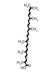 CC(C)=C/C=C/C(C)=C/C=C/C(C)=C/C=C/C=C(C)/C=C/C=C(C)/C=C/C=C(\C)C(=O)O